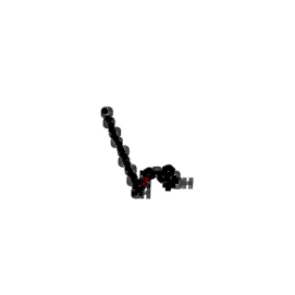 COCCOCCOCCOCCOCCOCCOCCOc1cc(Nc2cc(Oc3ccc(N(C(=O)O)C(C)(C)C)c4ccccc34)ccn2)cc(OC)c1